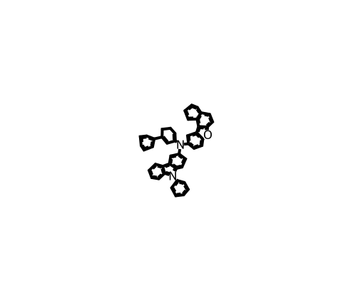 C1=C(c2ccccc2)CCC=C1N(c1ccc2oc3ccc4ccccc4c3c2c1)c1ccc2c(c1)c1ccccc1n2-c1ccccc1